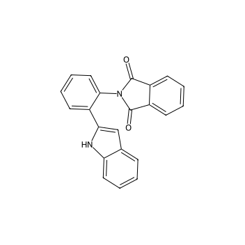 O=C1c2ccccc2C(=O)N1c1ccccc1-c1cc2ccccc2[nH]1